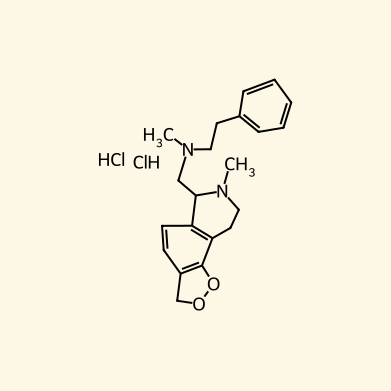 CN(CCc1ccccc1)CC1c2ccc3c(c2CCN1C)OOC3.Cl.Cl